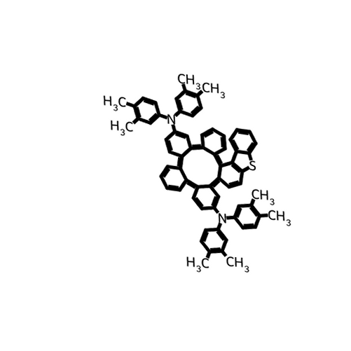 Cc1ccc(N(c2ccc(C)c(C)c2)c2ccc3c4ccccc4c4ccc(N(c5ccc(C)c(C)c5)c5ccc(C)c(C)c5)cc4c4ccc5sc6ccccc6c5c4c4ccccc4c3c2)cc1C